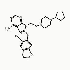 Nc1ncnc2c1nc(Sc1cc3c(cc1Br)OCO3)n2CCN1CCN(C2CCCC2)CC1